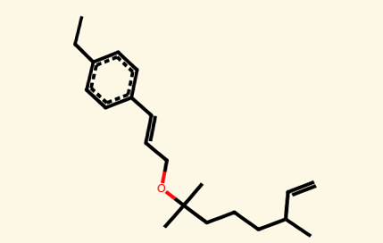 C=CC(C)CCCC(C)(C)OCC=Cc1ccc(CC)cc1